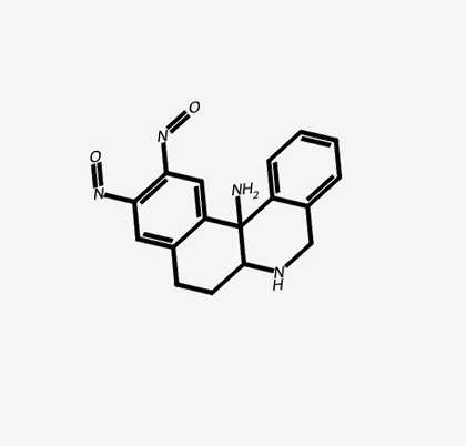 NC12c3cc(N=O)c(N=O)cc3CCC1NCc1ccccc12